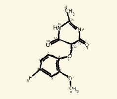 COc1cc(F)ccc1OC1C(=O)N=C(C)NC1=O